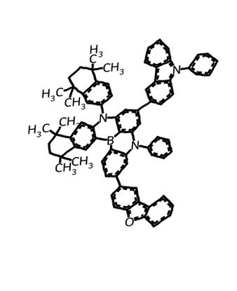 CC1(C)CCC(C)(C)c2cc(N3c4cc5c(cc4B4c6ccc(-c7ccc8oc9ccccc9c8c7)cc6N(c6ccccc6)c6cc(-c7ccc8c(c7)c7ccccc7n8-c7ccccc7)cc3c64)C(C)(C)CCC5(C)C)ccc21